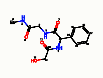 CCNC(=O)CNC(=O)[C@H](NC(=O)CO)c1ccccc1